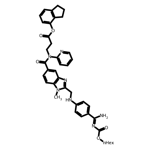 CCCCCCOC(=O)/N=C(\N)c1ccc(NCc2nc3cc(C(=O)N(CCC(=O)Oc4cccc5c4CCC5)c4ccccn4)ccc3n2C)cc1